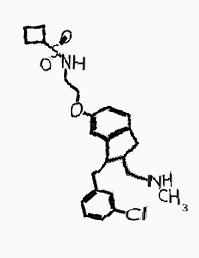 CNCC1Cc2ccc(OCCNS(=O)(=O)C3CCC3)cc2C1Cc1cccc(Cl)c1